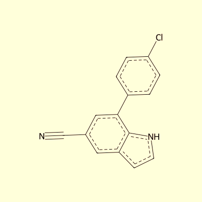 N#Cc1cc(-c2ccc(Cl)cc2)c2[nH]ccc2c1